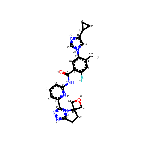 Cc1cc(F)c(C(=O)Nc2cccc(-c3nnc4n3C3(CC4)COC3)n2)cc1-n1cnc(C2CC2)c1